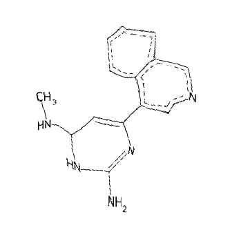 CNC1C=C(c2cncc3ccccc23)N=C(N)N1